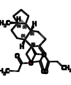 CCC(=O)OC(OC(=O)CC)[C@]12CCC(=O)C=C1CC[C@@H]1[C@H]2CC[C@]2(C)CCC[C@@H]12